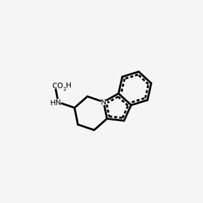 O=C(O)NC1CCc2cc3ccccc3n2C1